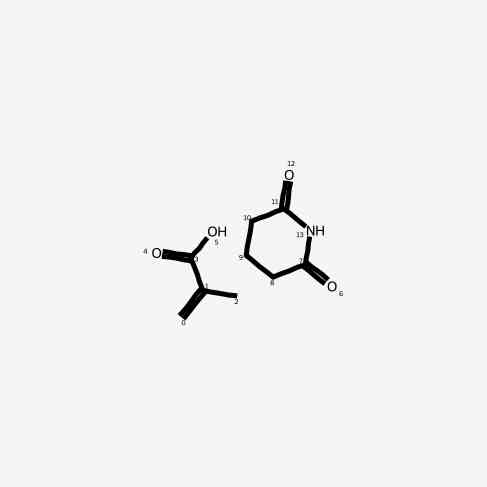 C=C(C)C(=O)O.O=C1CCCC(=O)N1